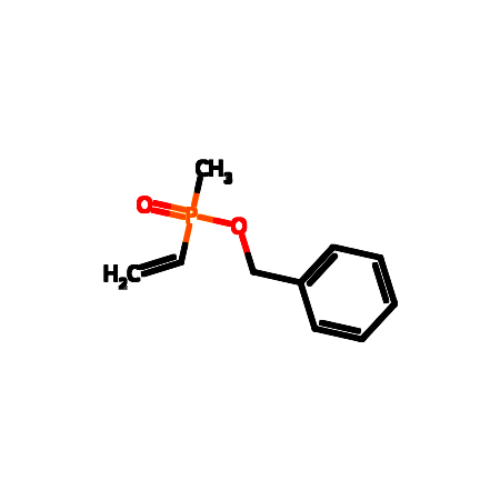 C=CP(C)(=O)OCc1ccccc1